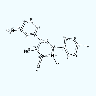 Cc1ccc(-c2cc(-c3cccc([N+](=O)[O-])c3)c(C#N)c(=O)n2C)cc1